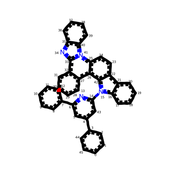 c1ccc(-c2cc(-c3ccccc3)nc(-n3c4ccccc4c4ccc5c(c6ccccc6c6nc7ccccc7n56)c43)c2)cc1